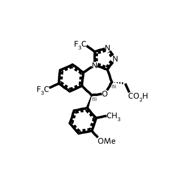 COc1cccc([C@@H]2O[C@@H](CC(=O)O)c3nnc(C(F)(F)F)n3-c3ccc(C(F)(F)F)cc32)c1C